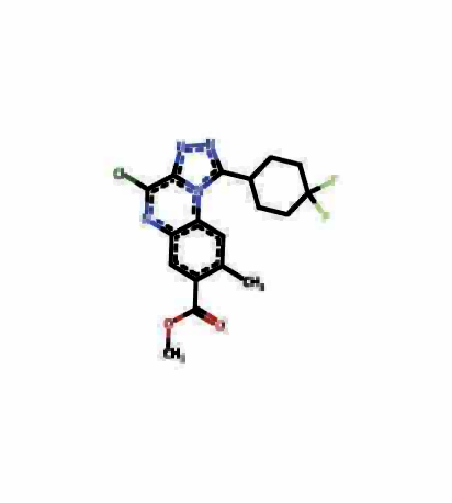 COC(=O)c1cc2nc(Cl)c3nnc(C4CCC(F)(F)CC4)n3c2cc1C